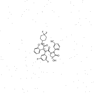 N#Cc1ccnc(N2C(=O)[C@H](O)C[C@H]2C(=O)N(c2cc(F)cc(F)c2)[C@H](C(=O)NC2CCC(F)(F)CC2)c2ccccc2Cl)c1